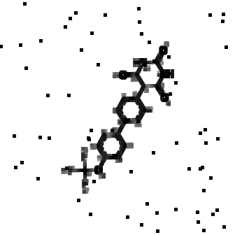 O=C1NC(=O)C(c2ccc(-c3ccc(OC(F)(F)F)cc3)cc2)C(=O)N1